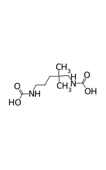 CC(C)(CCCNC(=O)O)CNC(=O)O